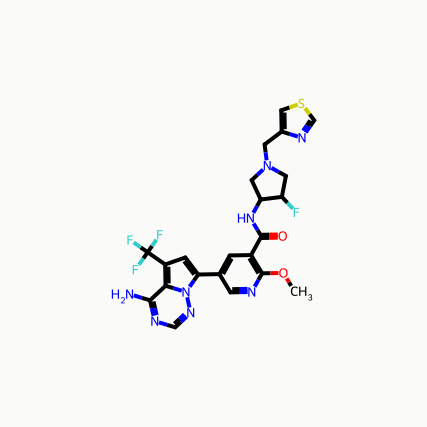 COc1ncc(-c2cc(C(F)(F)F)c3c(N)ncnn23)cc1C(=O)NC1CN(Cc2cscn2)CC1F